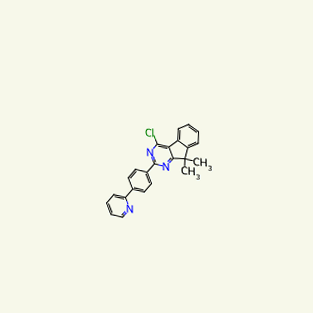 CC1(C)c2ccccc2-c2c(Cl)nc(-c3ccc(-c4ccccn4)cc3)nc21